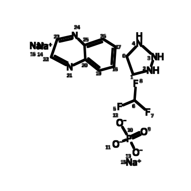 C1CNNN1.FC(F)F.O=P([O-])([O-])[O-].[Na+].[Na+].[Na+].c1ccc2nccnc2c1